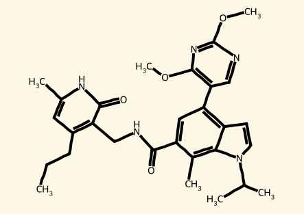 CCCc1cc(C)[nH]c(=O)c1CNC(=O)c1cc(-c2cnc(OC)nc2OC)c2ccn(C(C)C)c2c1C